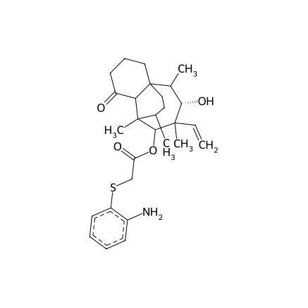 C=CC1(C)C(OC(=O)CSc2ccccc2N)C2(C)C(C)CCC3(CCCC(=O)C32)C(C)[C@@H]1O